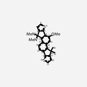 CNC1(NC)c2ccsc2-c2c(OC)cc3c4c(ccc3c21)-c1sccc1C4(C)C